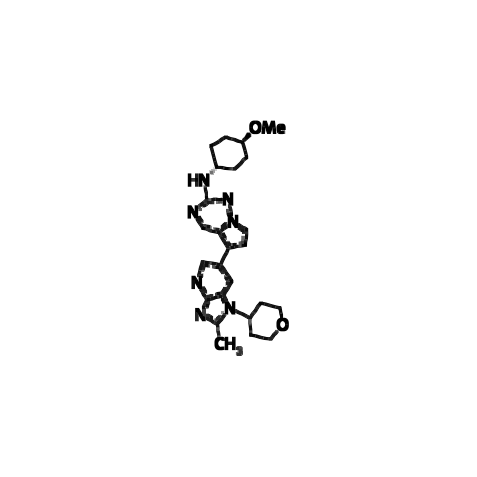 CO[C@H]1CC[C@H](Nc2ncc3c(-c4cnc5nc(C)n(C6CCOCC6)c5c4)ccn3n2)CC1